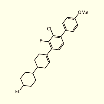 CCC1CCC(C2CC=C(c3ccc(-c4ccc(OC)cc4)c(Cl)c3F)CC2)CC1